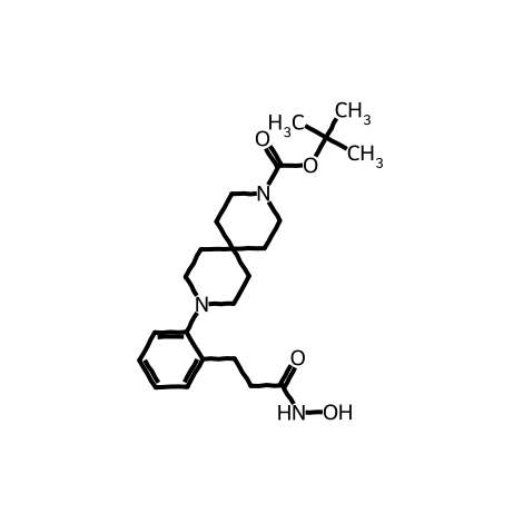 CC(C)(C)OC(=O)N1CCC2(CC1)CCN(c1ccccc1CCC(=O)NO)CC2